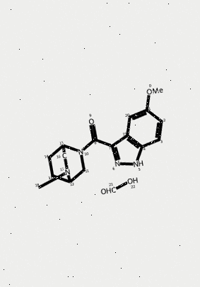 COc1ccc2[nH]nc(C(=O)N3CC4CCC3CN4C)c2c1.O=CO